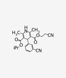 CC1=C(C(=O)OCCC#N)C(c2cccc(C#N)c2)C(C(=O)OC(C)C)=C(C)N1